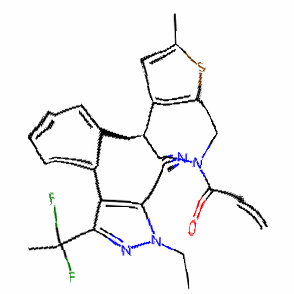 C=CC(=O)N1Cc2sc(C)cc2[C@H](c2ccccc2-c2c(C(C)(F)F)nn(CC)c2C#N)C1